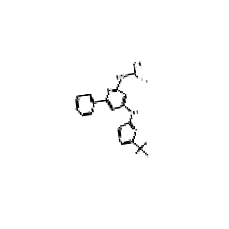 CC(C)Nc1cc(Nc2cccc(C(F)(F)F)n2)cc(-c2ccccc2)n1